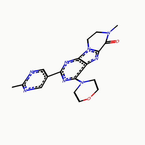 Cc1ncc(-c2nc(N3CCOCC3)c3nc4n(c3n2)CCN(C)C4=O)cn1